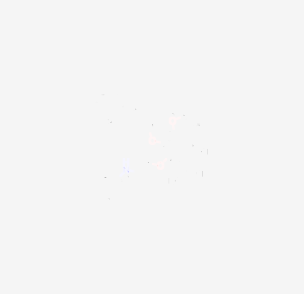 C=C(C)c1c(OCCNC2CCCC2)c(OCCCc2ccccc2)c2occc2c1C